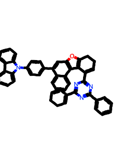 C1=CC(c2nc(C3=CCCc4oc5cc(-c6ccc(-n7c8ccccc8c8ccccc87)cc6)c6ccccc6c5c43)nc(-c3ccccc3)n2)=CCC1